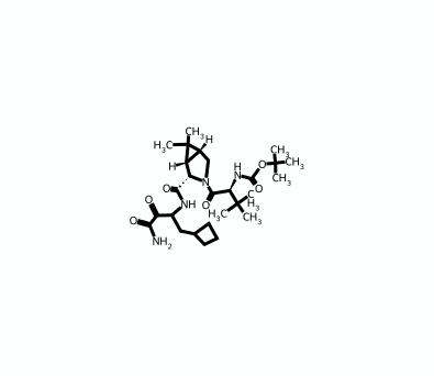 CC(C)(C)OC(=O)N[C@H](C(=O)N1C[C@@H]2[C@H]([C@H]1C(=O)NC(CC1CCC1)C(=O)C(N)=O)C2(C)C)C(C)(C)C